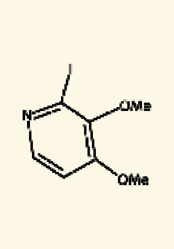 COc1ccnc(I)c1OC